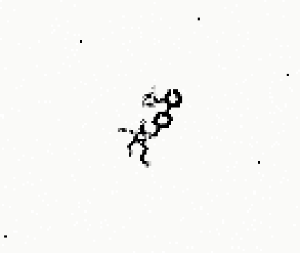 CCCCn1c(CF)c(CCC(C)C)n(Cc2ccc(-c3ccccc3-c3nnn[nH]3)cc2)c1=O